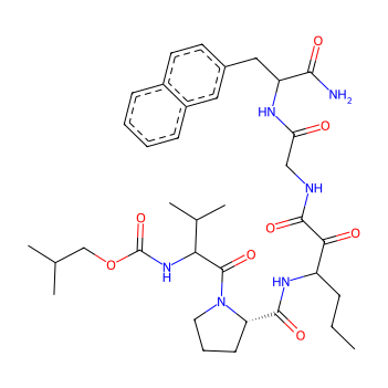 CCCC(NC(=O)[C@@H]1CCCN1C(=O)C(NC(=O)OCC(C)C)C(C)C)C(=O)C(=O)NCC(=O)NC(Cc1ccc2ccccc2c1)C(N)=O